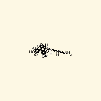 COc1cc(C2c3cc4c(cc3[C@@H](NC(=O)CNCCCNCCCCN)[C@H]3COC(=O)C23)OCO4)cc(OC)c1O